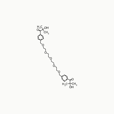 CC(C)(O)C(=O)c1ccc(COCCOCCOCCOCCOCc2ccc(C(=O)C(C)(C)O)cc2)cc1